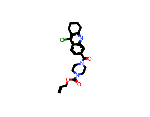 C=CCOC(=O)N1CCN(C(=O)c2ccc3c(Cl)c4c(nc3c2)CCCC4)CC1